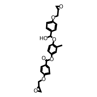 Cc1cc(OC(=O)c2ccc(OCC3CO3)cc2)ccc1OC(O)c1ccc(OCC2CO2)cc1